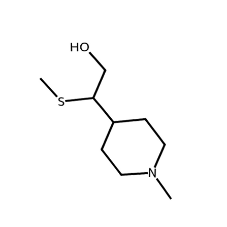 CSC(CO)C1CCN(C)CC1